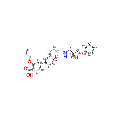 CCCOc1cc(-c2ccc3c(c2)CC[C@H](CNC[C@H](O)COc2ccccc2)O3)ccc1C(=O)O